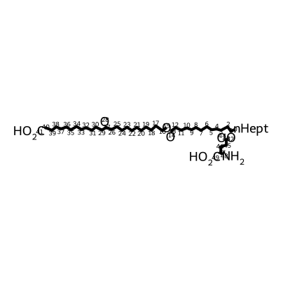 CCCCCCCC(CCCCCCCCCCCC(=O)OCCCCCCCCCCCC(=O)CCCCCCCCCCCCC(=O)O)OC(=O)CC[C@@H](N)C(=O)O